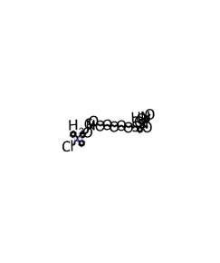 CN(CCOc1ccc(/C(=C(/CCCl)c2ccccc2)c2ccccc2)cc1)C(=O)CCOCCOCCOCCOCCOCCSc1cccc2c1C(=O)N(C1CCC(=O)NC1=O)C2=O